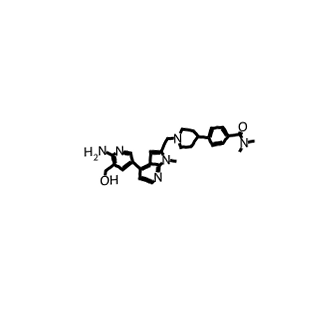 CN(C)C(=O)c1ccc(C2CCN(Cc3cc4c(-c5cnc(N)c(CO)c5)ccnc4n3C)CC2)cc1